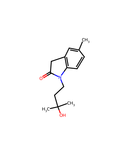 Cc1ccc2c(c1)CC(=O)N2CCC(C)(C)O